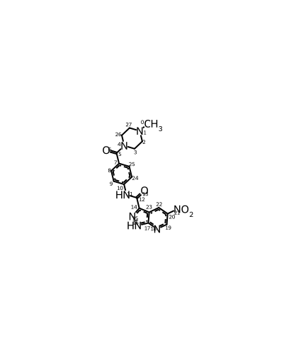 CN1CCN(C(=O)c2ccc(NC(=O)c3n[nH]c4ncc([N+](=O)[O-])cc34)cc2)CC1